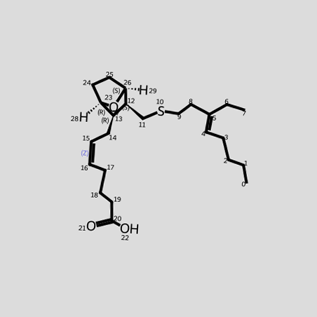 CCCCC=C(CC)CCSC[C@H]1[C@@H](C/C=C\CCCC(=O)O)[C@H]2CC[C@@H]1O2